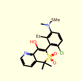 CCc1c(N(C)SC)ccc(Cl)c1C1=C(O)c2ncccc2C(C)(C)S1(=O)=O